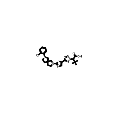 CC(C)(C)C(C(=O)O)n1nnc(-c2cnc(N3CCC4(CCN(c5ccccc5Cl)C4)C3)s2)n1